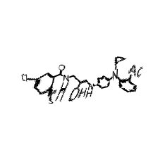 CC(=O)c1ccccc1N(c1ccc(NCC(O)CNC(=O)C2=CC(Cl)=CCC2=S)cc1)C1CC1